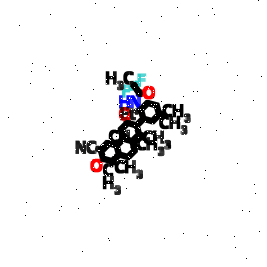 CCC1(NC(=O)C(C)(F)F)CCC(C)(C)CC1C1C(=O)C=C2C3(C)C=C(C#N)C(=O)C(C)(C)C3CCC2(C)C1C